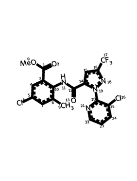 COC(=O)c1cc(Cl)cc(C)c1NC(=O)c1cc(C(F)(F)F)nn1-c1ncccc1Cl